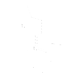 C=C/C=C(/C)c1c(C)c2c(n1C)N=C(C)C2